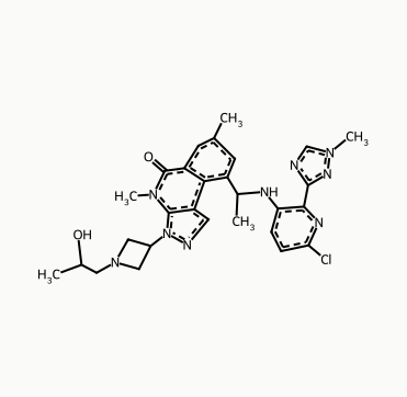 Cc1cc(C(C)Nc2ccc(Cl)nc2-c2ncn(C)n2)c2c(c1)c(=O)n(C)c1c2cnn1C1CN(CC(C)O)C1